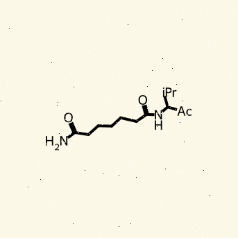 CC(=O)C(NC(=O)CCCCCC(N)=O)C(C)C